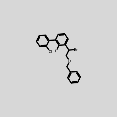 Fc1c(-c2ccccc2Cl)cccc1C(Br)COCc1ccccc1